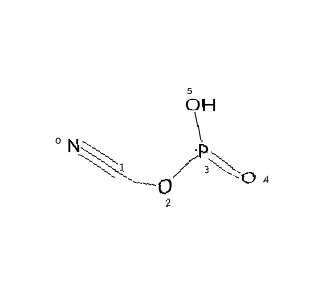 N#CO[P](=O)O